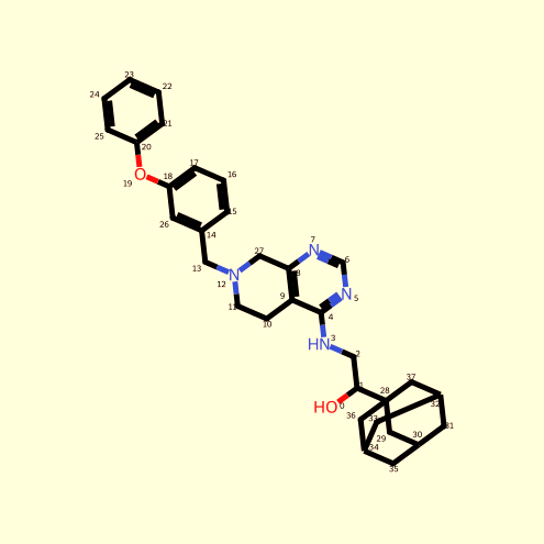 OC(CNc1ncnc2c1CCN(Cc1cccc(Oc3ccccc3)c1)C2)C12CC3CC(CC(C3)C1)C2